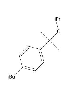 CCC(C)c1ccc(C(C)(C)OC(C)C)cc1